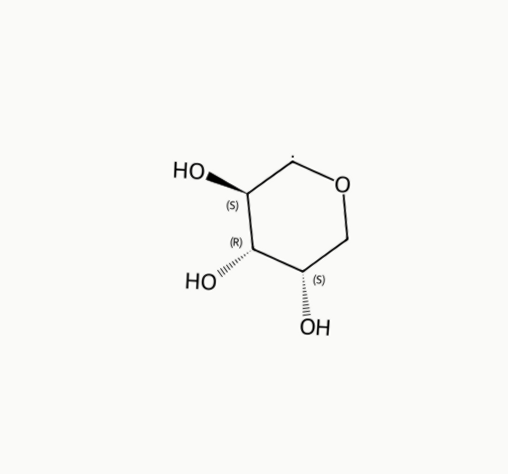 O[C@@H]1[C@@H](O)[CH]OC[C@@H]1O